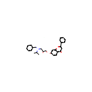 CC(C)N(Cc1ccccc1)CC(O)COc1ccc2c(=O)cc(-c3ccccc3)oc2c1.Cl